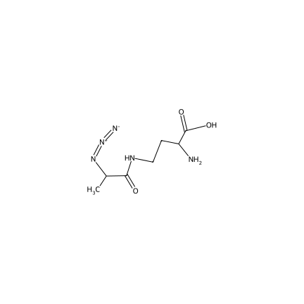 CC(N=[N+]=[N-])C(=O)NCCC(N)C(=O)O